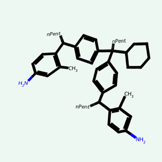 CCCCCC(c1ccc(C(CCCCC)(c2ccc(C(CCCCC)c3ccc(N)cc3C)cc2)C2CCCCC2)cc1)c1ccc(N)cc1C